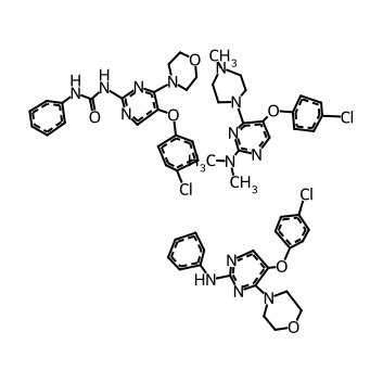 CN1CCN(c2nc(N(C)C)ncc2Oc2ccc(Cl)cc2)CC1.Clc1ccc(Oc2cnc(Nc3ccccc3)nc2N2CCOCC2)cc1.O=C(Nc1ccccc1)Nc1ncc(Oc2ccc(Cl)cc2)c(N2CCOCC2)n1